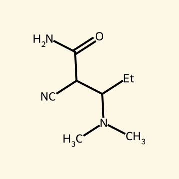 CCC(C(C#N)C(N)=O)N(C)C